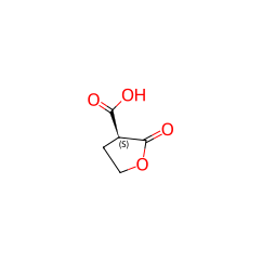 O=C(O)[C@@H]1CCOC1=O